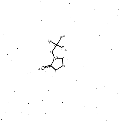 O=C1CCCN1CC(F)(F)F